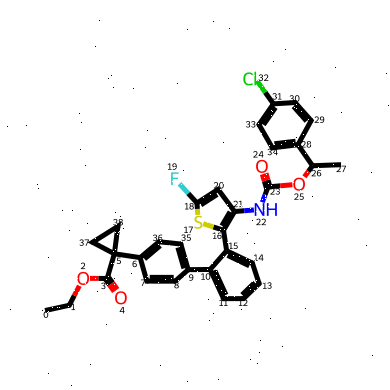 CCOC(=O)C1(c2ccc(-c3ccccc3-c3sc(F)cc3NC(=O)OC(C)c3ccc(Cl)cc3)cc2)CC1